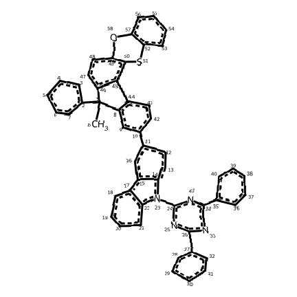 CC1(c2ccccc2)c2cc(-c3ccc4c(c3)c3ccccc3n4-c3nc(-c4ccccc4)nc(-c4ccccc4)n3)ccc2-c2c1ccc1c2Sc2ccccc2O1